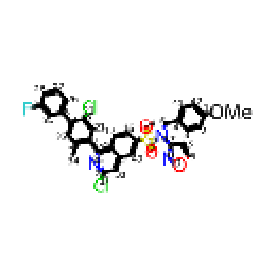 COc1ccc(CN(c2ccon2)S(=O)(=O)c2ccc3c(-c4cc(Cl)c(-c5cccc(F)c5)cc4C)nc(Cl)cc3c2)cc1